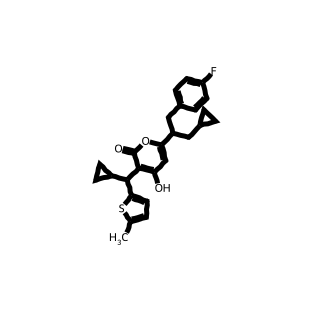 Cc1ccc(C(c2c(O)cc(C(Cc3ccc(F)cc3)CC3CC3)oc2=O)C2CC2)s1